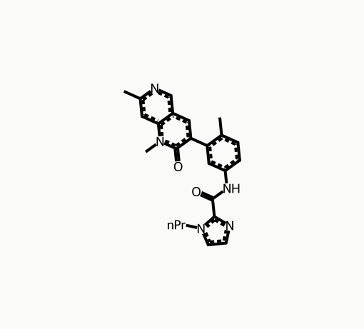 CCCn1ccnc1C(=O)Nc1ccc(C)c(-c2cc3cnc(C)cc3n(C)c2=O)c1